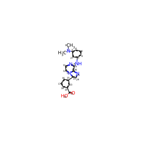 CN(C)c1cccc(Nc2nccn3c(-c4cccc(C(=O)O)c4)cnc23)c1